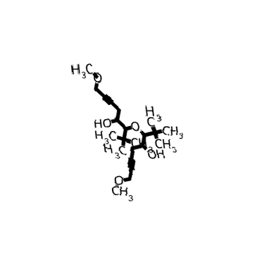 COCC#CCC(O)C(OC(C(O)CC#CCOC)C(C)(C)C)C(C)(C)C